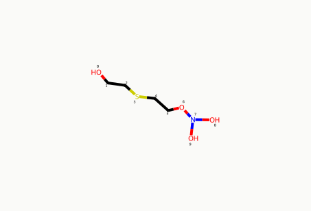 OCCSCCON(O)O